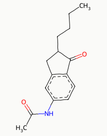 CCCCC1Cc2cc(NC(C)=O)ccc2C1=O